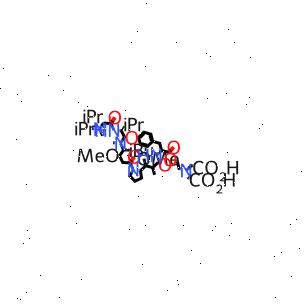 CCC(C)C(C(CC(=O)N1CCCC1C(OC)C(C)C(=O)NC(Cc1ccccc1)C(=O)OCCN(CC(=O)O)CC(=O)O)OC)N(C)C(=O)[C@@H](NC(=O)C(C(C)C)N(C)C(C)C)C(C)C